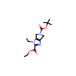 CCOC(=O)c1nc2c(n1CC)CN(C(=O)OC(C)(C)C)C2